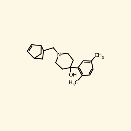 Cc1ccc(C)c(C2(O)CCN(CC3CC4C=CC3C4)CC2)c1